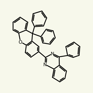 c1ccc(-c2nc(-c3ccc4c(c3)C(c3ccccc3)(c3ccccc3)c3ccccc3O4)nc3ccccc23)cc1